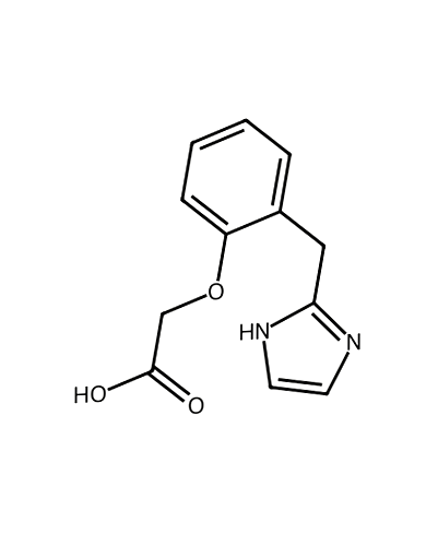 O=C(O)COc1ccccc1Cc1ncc[nH]1